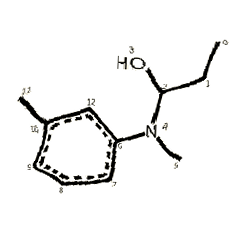 CCC(O)N(C)c1cccc(C)c1